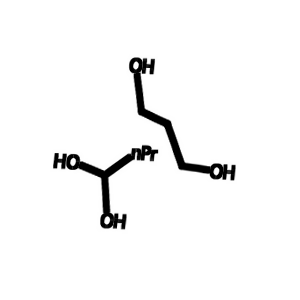 CCCC(O)O.OCCCO